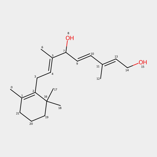 CC1=C(C/C=C(\C)C(O)/C=C/C(C)=C/CO)C(C)(C)CCC1